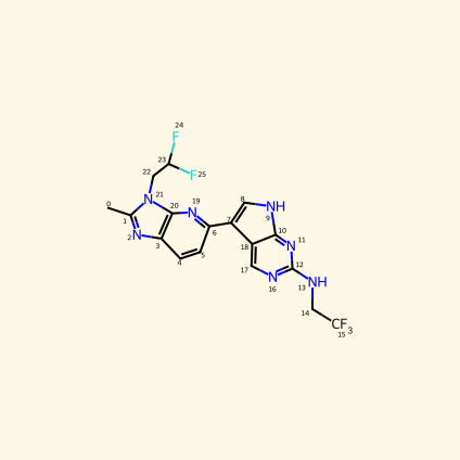 Cc1nc2ccc(-c3c[nH]c4nc(NCC(F)(F)F)ncc34)nc2n1CC(F)F